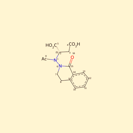 CC(=O)N([C@@H](CC(=O)O)C(=O)O)N1CCc2ccccc2C1=O